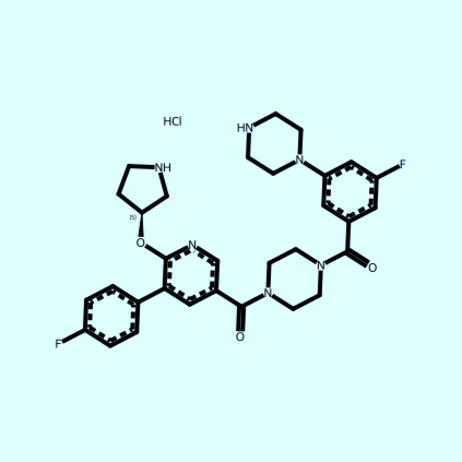 Cl.O=C(c1cc(F)cc(N2CCNCC2)c1)N1CCN(C(=O)c2cnc(O[C@H]3CCNC3)c(-c3ccc(F)cc3)c2)CC1